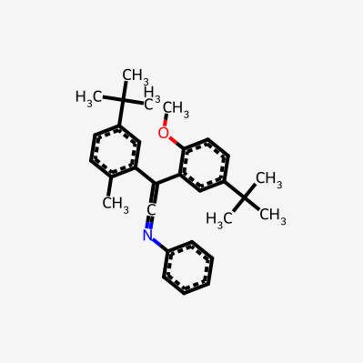 COc1ccc(C(C)(C)C)cc1C(=C=Nc1ccccc1)c1cc(C(C)(C)C)ccc1C